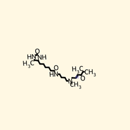 CC(C)C(=O)/C=C/CN(C)CCCCNC(=O)CCCCCC1NC(=O)NC1C